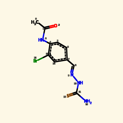 CC(=O)Nc1ccc(C=NNC(N)=S)cc1Br